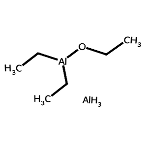 CC[O][Al]([CH2]C)[CH2]C.[AlH3]